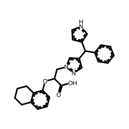 O=C(O)C(Cn1cc(C(c2ccccc2)c2cc[nH]c2)cn1)Oc1cccc2c1CCCC2